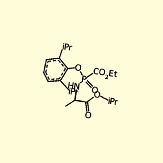 CCOC(=O)P(=O)(NC(C)C(=O)OC(C)C)Oc1c(C(C)C)cccc1C(C)C